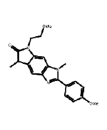 COCCN1C(=O)C(C)c2cc3nc(-c4ccc(OC)cc4)n(C)c3cc21